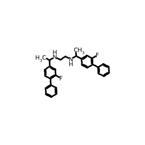 CC(NCCNC(C)c1ccc(-c2ccccc2)c(F)c1)c1ccc(-c2ccccc2)c(F)c1